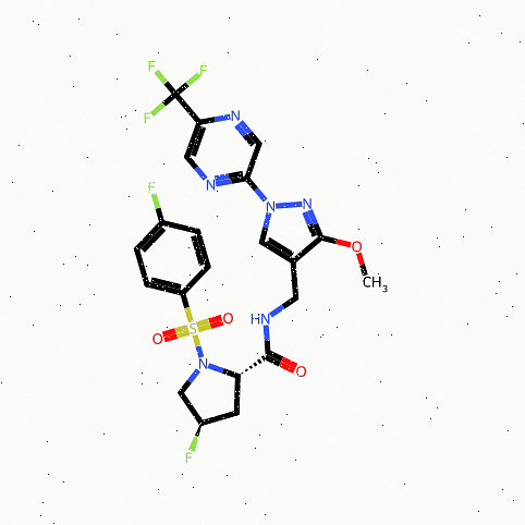 COc1nn(-c2cnc(C(F)(F)F)cn2)cc1CNC(=O)[C@@H]1C[C@@H](F)CN1S(=O)(=O)c1ccc(F)cc1